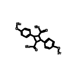 CC(C)Oc1ccc(C2C(C(=O)C(C)(C)C)C(c3ccc(OC(C)(C)C)cc3)C2C(=O)C(C)(C)C)cc1